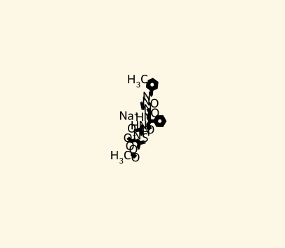 CC(=O)OCC1=C(C(=O)[O-])N2C(=O)C(NC(=O)C(NC(=O)N3CCN(N=Cc4cccc(C)c4)C3=O)c3ccccc3)[C@@H]2SC1.[Na+]